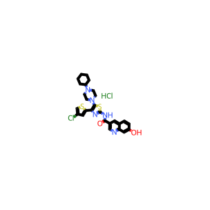 Cl.O=C(Nc1nc(-c2cc(Cl)cs2)c(N2CCN(C3CCCCC3)CC2)s1)c1cnc2cc(O)ccc2c1